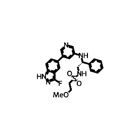 COCCS(=O)(=O)NC[C@H](Nc1cncc(-c2ccc3[nH]nc(F)c3c2)c1)c1ccccc1